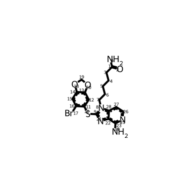 NC(=O)CCCCCn1c(Sc2cc3c(cc2Br)OCO3)nc2c(N)nccc21